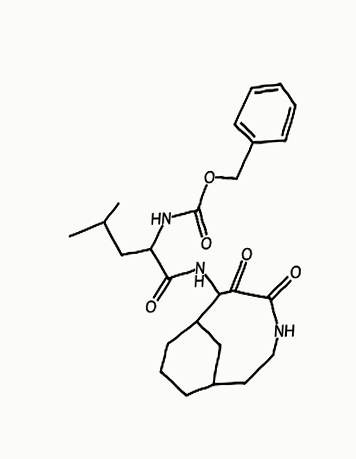 CC(C)CC(NC(=O)OCc1ccccc1)C(=O)NC1C(=O)C(=O)NCCC2CCCC1C2